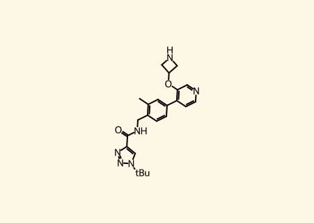 Cc1cc(-c2ccncc2OC2CNC2)ccc1CNC(=O)c1cn(C(C)(C)C)nn1